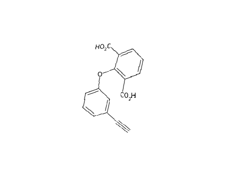 C#Cc1cccc(Oc2c(C(=O)O)cccc2C(=O)O)c1